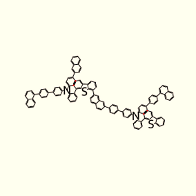 c1ccc(N(c2ccc(-c3ccc(-c4ccc5ccc(-c6cccc7c6sc6c(-c8ccccc8N(c8ccc(-c9ccc(-c%10cccc%11ccccc%10%11)cc9)cc8)c8ccc(-c9ccc%10ccccc%10c9)cc8)cccc67)cc5c4)cc3)cc2)c2ccc(-c3ccc(-c4cccc5ccccc45)cc3)cc2)c(-c2cccc3c2sc2ccccc23)c1